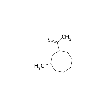 CC(=S)C1CCCCCC(C)C1